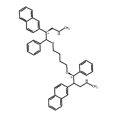 CNCC(c1ccc2ccccc2c1)[C@@H](OCCCCOC(c1ccccc1)[C@H](CNC)c1ccc2ccccc2c1)c1ccccc1